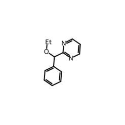 CCOC(c1ccccc1)c1ncccn1